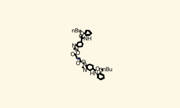 CCCCOc1ccccc1NC(=O)C1CCc2c(ncn2OC(=O)/C=C/C(=O)On2cnc3c2CCC(C(=O)Nc2ccccc2OCCCC)C3)C1